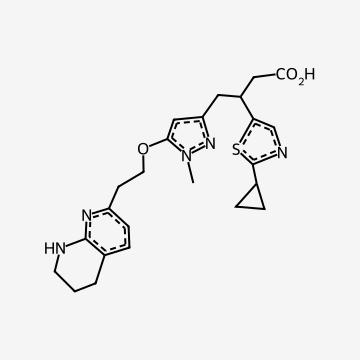 Cn1nc(CC(CC(=O)O)c2cnc(C3CC3)s2)cc1OCCc1ccc2c(n1)NCCC2